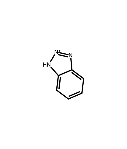 c1ccc2c(c1)N=[N+]N2